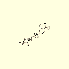 COC(=O)c1ccc(-c2ccc(/C=N/NC(N)=S)o2)cc1Cl